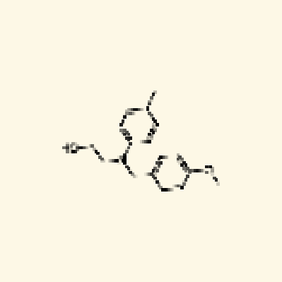 COc1ccc(CN(CCO)c2ccc(C)cc2)cc1